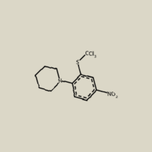 O=[N+]([O-])c1ccc(N2CCCCC2)c(SC(Cl)(Cl)Cl)c1